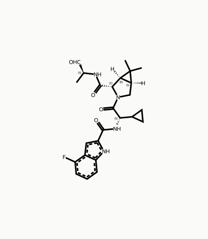 C[C@@H](C=O)NC(=O)[C@@H]1[C@@H]2[C@H](CN1C(=O)[C@@H](NC(=O)c1cc3c(F)cccc3[nH]1)C1CC1)C2(C)C